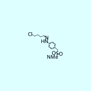 CNS(=O)(=O)Cc1ccc(N/N=C\CCCCl)cc1